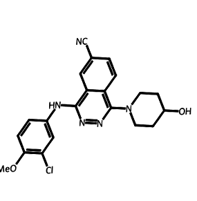 COc1ccc(Nc2nnc(N3CCC(O)CC3)c3ccc(C#N)cc23)cc1Cl